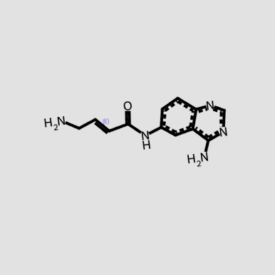 NC/C=C/C(=O)Nc1ccc2ncnc(N)c2c1